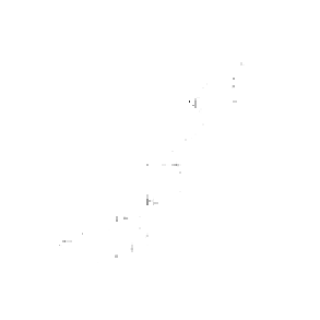 O=C(OC(CO)C(F)(F)F)N1CCC2(CC1)CC(c1ccc(C(F)F)cn1)C2